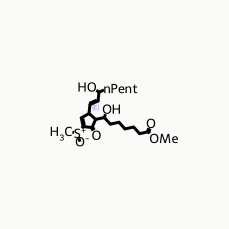 CCCCCC(O)/C=C/C1C=C([S+](C)[O-])C(=O)C1C(O)CCCCCC(=O)OC